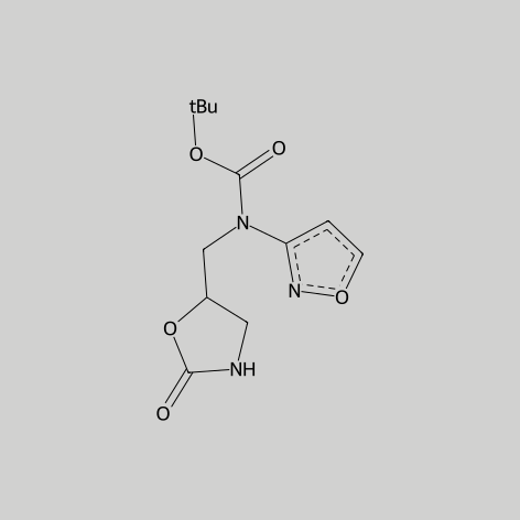 CC(C)(C)OC(=O)N(CC1CNC(=O)O1)c1ccon1